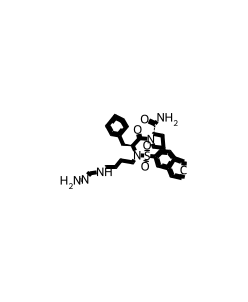 NN=CNCCCCN([C@@H](Cc1ccccc1)C(=O)N1CCC[C@H]1C(N)=O)S(=O)(=O)c1ccc2ccccc2c1